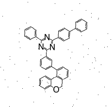 c1ccc(-c2ccc(-c3nc(-c4ccccc4)nc(-c4cccc(-c5cccc6c5-c5ccccc5OC6)c4)n3)cc2)cc1